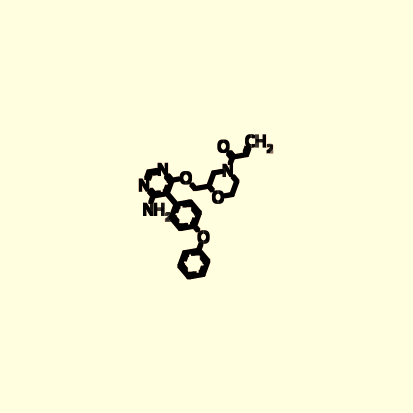 C=CC(=O)N1CCOC(COc2ncnc(N)c2-c2ccc(Oc3ccccc3)cc2)C1